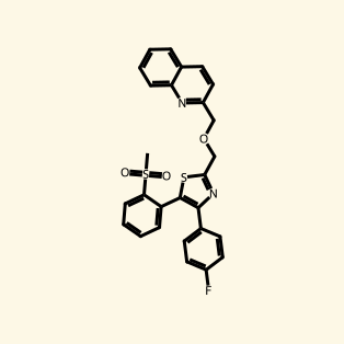 CS(=O)(=O)c1ccccc1-c1sc(COCc2ccc3ccccc3n2)nc1-c1ccc(F)cc1